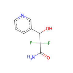 NC(=O)C(F)(F)C(O)c1cccnc1